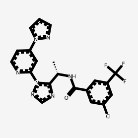 C[C@H](NC(=O)c1cc(Cl)cc(C(F)(F)F)c1)c1ncnn1-c1cc(-n2cccn2)ccn1